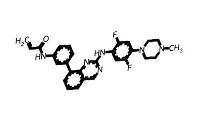 C=CC(=O)Nc1cccc(-c2cccc3cnc(Nc4cc(F)c(N5CCN(C)CC5)cc4F)nc23)c1